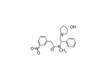 CN(C(=O)Cc1cccc([N+](=O)[O-])c1)C(CN1CC[C@H](O)C1)c1ccccc1